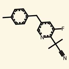 Cc1ccc(Cc2cnc(C(C)(C)C#N)c(F)c2)cc1